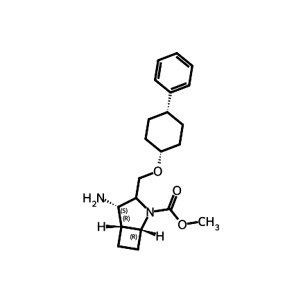 COC(=O)N1C(CO[C@H]2CC[C@@H](c3ccccc3)CC2)[C@@H](N)[C@H]2CC[C@H]21